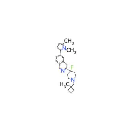 Cc1ccc(-c2ccc3cnc(C4(F)CCN(CC5(C)CCC5)CC4)cc3c2)n1C